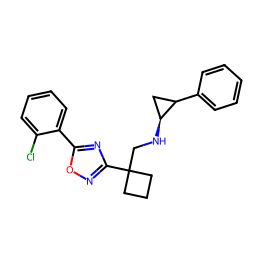 Clc1ccccc1-c1nc(C2(CN[C@H]3CC3c3ccccc3)CCC2)no1